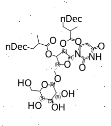 CCCCCCCCCCCC(C)C(=O)OC1[C@@H](CO[C@@H]2OC(CO)[C@@H](O)[C@H](O)[C@H]2O)O[C@@H](n2ccc(=O)[nH]c2=O)[C@H]1OC(=O)C(C)CCCCCCCCCCC